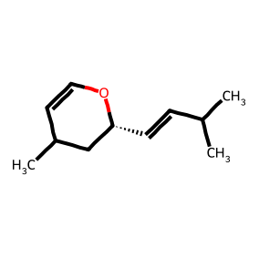 CC(C)/C=C/[C@@H]1CC(C)C=CO1